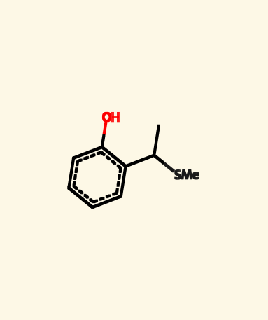 CSC(C)c1ccccc1O